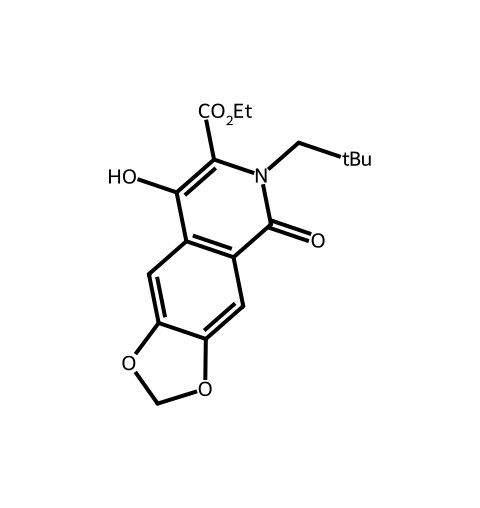 CCOC(=O)c1c(O)c2cc3c(cc2c(=O)n1CC(C)(C)C)OCO3